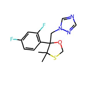 CC1(C)SCOC1(Cn1cncn1)c1ccc(F)cc1F